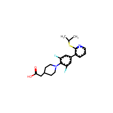 CC(C)Sc1ncccc1-c1cc(F)c(N2CCC(CC(=O)O)CC2)c(F)c1